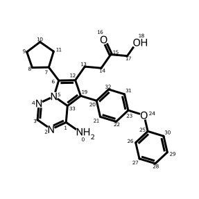 Nc1ncnn2c(C3CCCC3)c(CCC(=O)CO)c(-c3ccc(Oc4ccccc4)cc3)c12